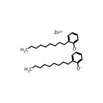 CCCCCCCCCc1ccccc1[O-].CCCCCCCCCc1ccccc1[O-].[Zn+2]